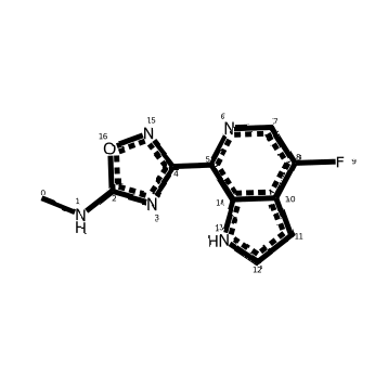 CNc1nc(-c2ncc(F)c3cc[nH]c23)no1